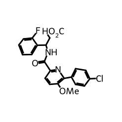 COc1ccc(C(=O)NC(CC(=O)O)c2ccccc2F)nc1-c1ccc(Cl)cc1